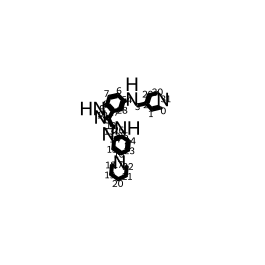 c1cc(CNc2ccc3[nH]nc(-c4nc5cc(N6CCCCC6)ccc5[nH]4)c3c2)ccn1